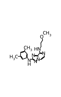 COCCCNc1nccn2nc(Nc3cc(C)cc(C)c3)nc12